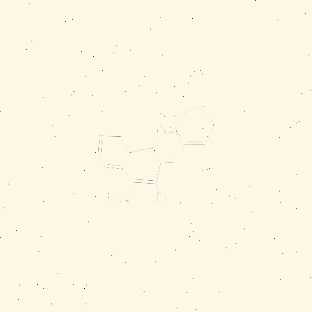 CCc1c(Oc2ccccc2)c(OC(C)=O)c2ccccc2c1OC(C)=O